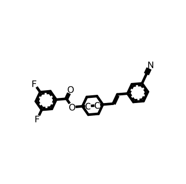 N#Cc1cccc(C=CC23CCC(OC(=O)c4cc(F)cc(F)c4)(CC2)CC3)c1